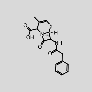 CC1=CS[C@H]2C(NC(=O)Cc3ccccc3)C(=O)N2C1C(=O)O